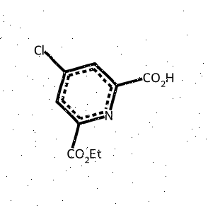 CCOC(=O)c1cc(Cl)cc(C(=O)O)n1